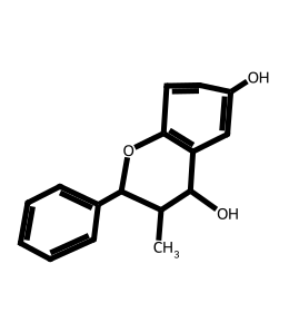 CC1C(O)c2cc(O)ccc2OC1c1ccccc1